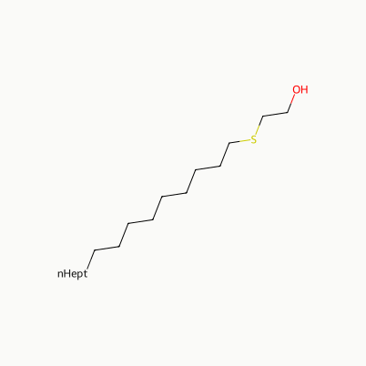 CCCCCCCCCCCCCCCCSCCO